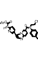 COC(=O)Nc1ccc(-c2cnc3ccc(C(=O)N(CCC#N)c4ccc(C)cc4)cn23)cn1